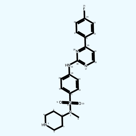 CN(C1CCNCC1)S(=O)(=O)c1ccc(Nc2nccc(-c3ccc(F)cc3)n2)cc1